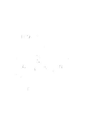 Cc1ccc2c(c1)NC(=O)C2CC(=O)N[C@@H](Cc1cc(F)cc(F)c1)c1ncccc1-c1ccc(F)c(C(N)=O)c1